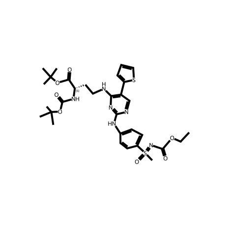 CCOC(=O)N=S(C)(=O)c1ccc(Nc2ncc(-c3cccs3)c(NCC[C@H](NC(=O)OC(C)(C)C)C(=O)OC(C)(C)C)n2)cc1